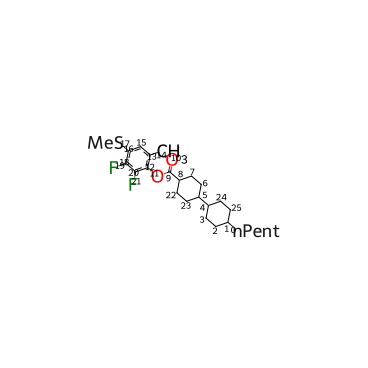 CCCCCC1CCC(C2CCC(C(=O)Oc3c(C)cc(SC)c(F)c3F)CC2)CC1